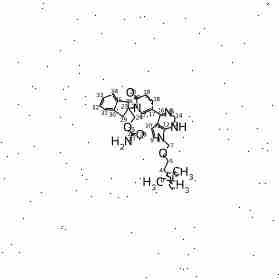 C[Si](C)(C)CCOCn1ccc2c1NCN=C2c1ccc(=O)n(C2(COC(N)=O)Cc3ccccc3C2)c1